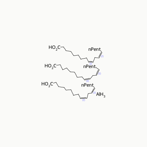 CCCCC/C=C\C/C=C\CCCCCCCC(=O)O.CCCCC/C=C\C/C=C\CCCCCCCC(=O)O.CCCCC/C=C\C/C=C\CCCCCCCC(=O)O.[AlH3]